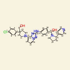 OCC1(c2ccc(Cl)cc2)CCN(c2cccn3nc(Nc4ccc(C(O)N5CCCC5c5ccncc5)cc4)nc23)CC1